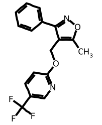 Cc1onc(-c2ccccc2)c1COc1ccc(C(F)(F)F)cn1